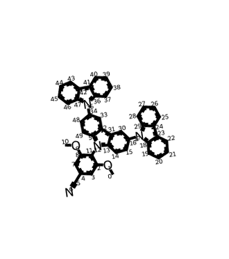 COc1cc(C#N)cc(OC)c1-n1c2ccc(-n3c4ccccc4c4ccccc43)cc2c2cc(-n3c4ccccc4c4ccccc43)ccc21